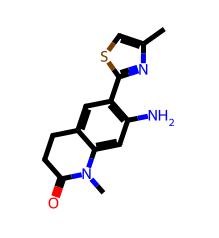 Cc1csc(-c2cc3c(cc2N)N(C)C(=O)CC3)n1